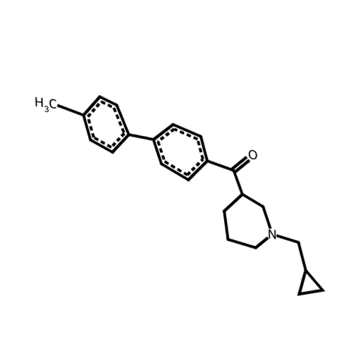 Cc1ccc(-c2ccc(C(=O)C3CCCN(CC4CC4)C3)cc2)cc1